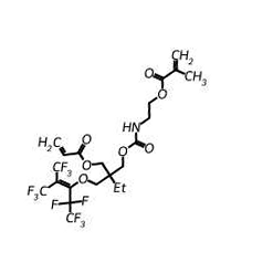 C=CC(=O)OCC(CC)(COC(=O)NCCOC(=O)C(=C)C)COC(=C(C(F)(F)F)C(F)(F)F)C(F)(F)C(F)(F)F